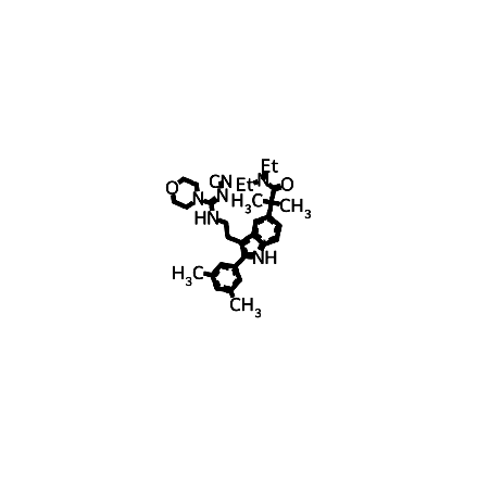 CCN(CC)C(=O)C(C)(C)c1ccc2[nH]c(-c3cc(C)cc(C)c3)c(CCN/C(=N/C#N)N3CCOCC3)c2c1